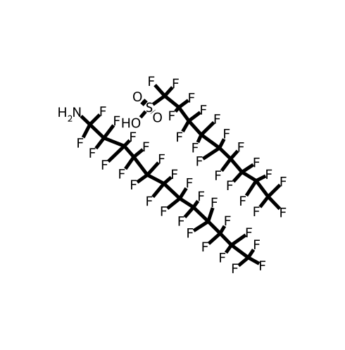 NC(F)(F)C(F)(F)C(F)(F)C(F)(F)C(F)(F)C(F)(F)C(F)(F)C(F)(F)C(F)(F)C(F)(F)C(F)(F)C(F)(F)F.O=S(=O)(O)C(F)(F)C(F)(F)C(F)(F)C(F)(F)C(F)(F)C(F)(F)C(F)(F)C(F)(F)C(F)(F)F